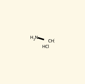 CN.Cl.[CH]